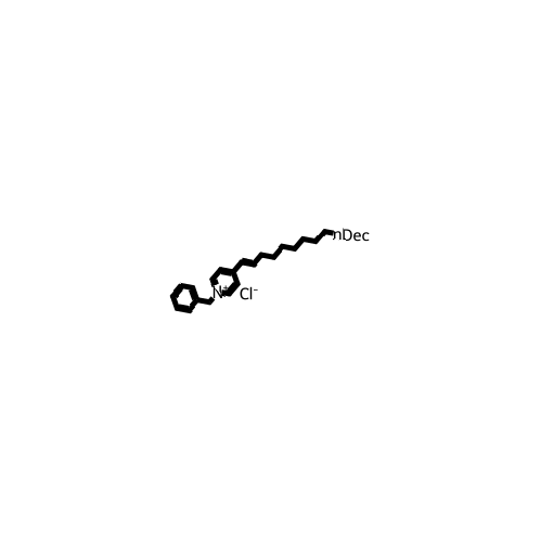 CCCCCCCCCCCCCCCCCC=Cc1cc[n+](Cc2ccccc2)cc1.[Cl-]